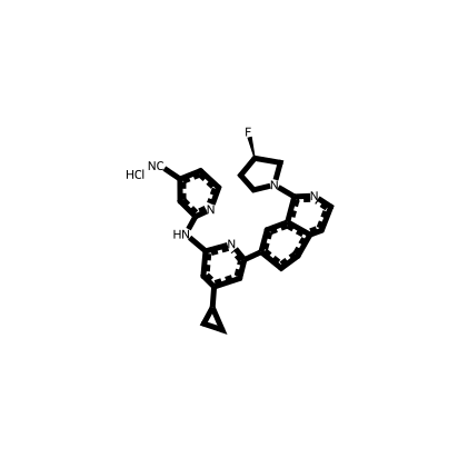 Cl.N#Cc1ccnc(Nc2cc(C3CC3)cc(-c3ccc4ccnc(N5CC[C@@H](F)C5)c4c3)n2)c1